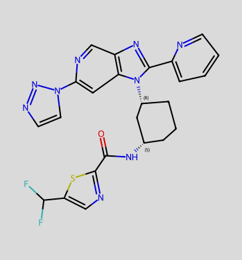 O=C(N[C@H]1CCC[C@@H](n2c(-c3ccccn3)nc3cnc(-n4ccnn4)cc32)C1)c1ncc(C(F)F)s1